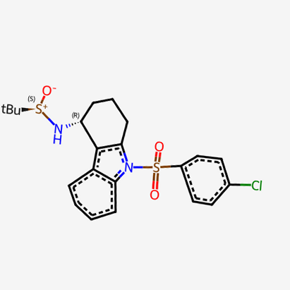 CC(C)(C)[S@@+]([O-])N[C@@H]1CCCc2c1c1ccccc1n2S(=O)(=O)c1ccc(Cl)cc1